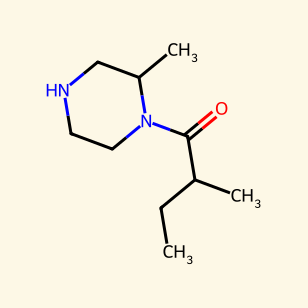 CCC(C)C(=O)N1CCNCC1C